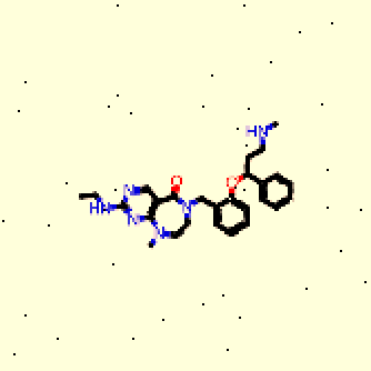 CCNc1ncc2c(n1)N(C)CCN(Cc1ccccc1OC(CCNC)c1ccccc1)C2=O